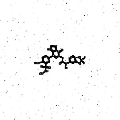 CCN(C(=O)Cn1nc(-c2ccc(OC)c(S(=O)(=O)NC(C)(C)C)c2)c2[nH]cnc2c1=O)c1ccc2c(c1)OC(F)(F)O2